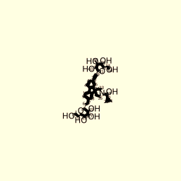 OCC[C@H]1O[C@H](CCc2ccc3c(c2)C2(CCN(C(O)C4CC4)CC2)c2cc(C#C[C@H]4O[C@H](CO)[C@@H](O)[C@H](O)[C@@H]4O)ccc2-3)[C@@H](O)[C@@H](O)[C@@H]1O